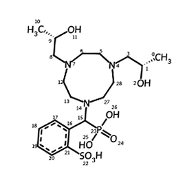 C[C@H](O)CN1CCN(C[C@H](C)O)CCN(C(c2ccccc2S(=O)(=O)O)P(=O)(O)O)CC1